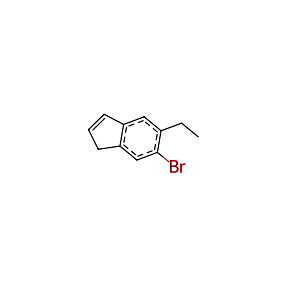 CCc1cc2c(cc1Br)CC=C2